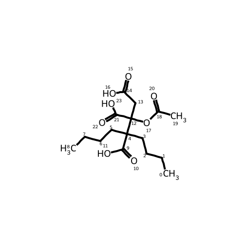 CCCCC(CCCC)(C(=O)O)C(CC(=O)O)(OC(C)=O)C(=O)O